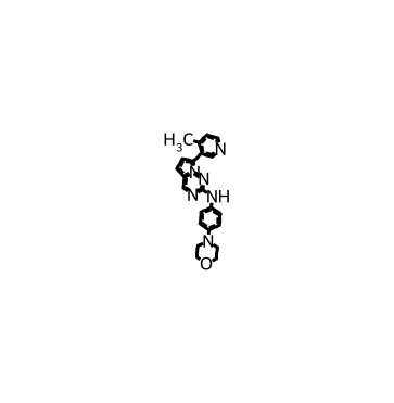 Cc1ccncc1-c1ccc2cnc(Nc3ccc(N4CCOCC4)cc3)nn12